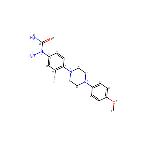 COc1ccc(N2CCN(c3ccc(N(N)C(N)=O)cc3F)CC2)cc1